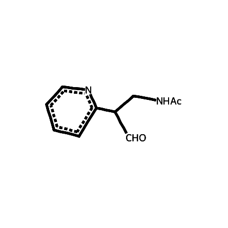 CC(=O)NCC(C=O)c1ccccn1